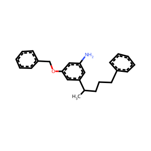 CC(CCCc1ccccc1)c1cc(N)cc(OCc2ccccc2)c1